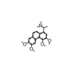 COc1cc2ccc3c(C(C)N(C)C)cc(OC)c(OC)c3c2cc1OC